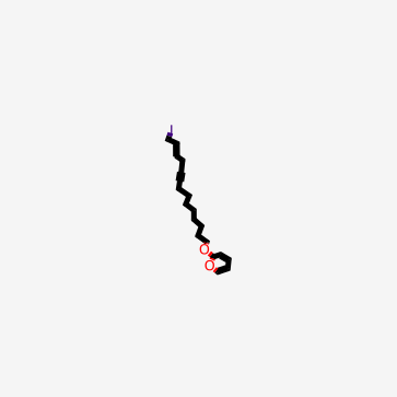 ICC=CCC#CCCCCCCCCOC1C=CC=CO1